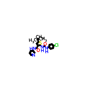 CC(C)(C)c1cc(C(=O)Nc2cccnc2)c(NC(=O)Nc2ccc(Cl)cc2)s1